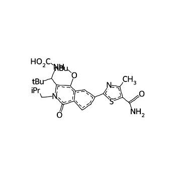 CCCCOc1c(C(NC(=O)O)C(C)(C)C)n(CC(C)C)c(=O)c2ccc(-c3nc(C)c(C(N)=O)s3)cc12